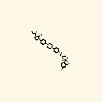 CC[C@@H](C)n1ncn(-c2ccc(N3CCN(c4ccc(OC[C@H]5CO[C@](C)(c6ccc(Cl)cc6Cl)O5)cc4)CC3)cc2)c1=O